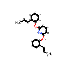 CC=Cc1ccccc1Oc1cccc(Oc2ccccc2C=CC)n1